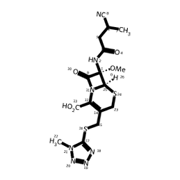 CO[C@@]1(NC(=O)CC(C)C#N)C(=O)N2C(C(=O)O)=C(CSc3nnnn3C)CS[C@@H]21